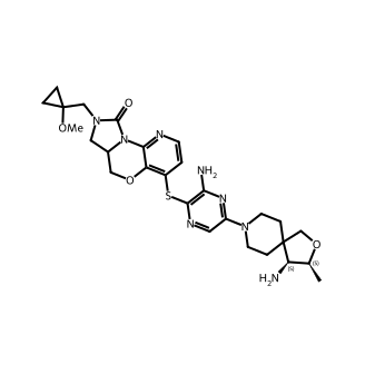 COC1(CN2CC3COc4c(Sc5ncc(N6CCC7(CC6)CO[C@@H](C)[C@H]7N)nc5N)ccnc4N3C2=O)CC1